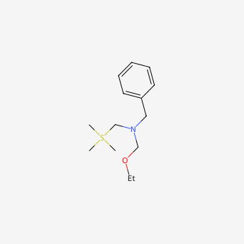 CCOCN(Cc1ccccc1)CS(C)(C)C